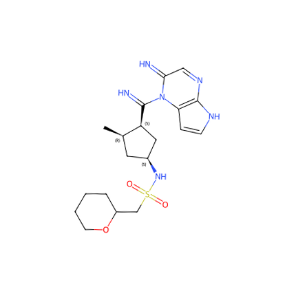 C[C@@H]1C[C@H](NS(=O)(=O)CC2CCCCO2)C[C@@H]1C(=N)n1c(=N)cnc2[nH]ccc21